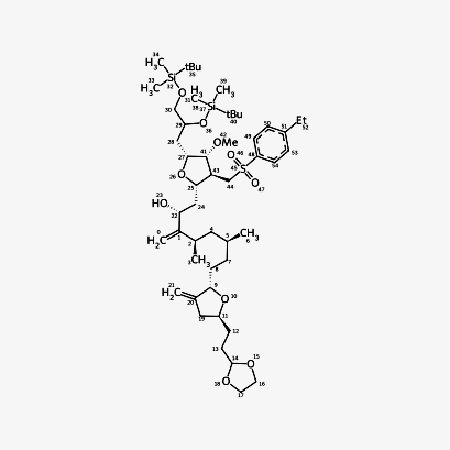 C=C([C@H](C)C[C@@H](C)CC[C@@H]1O[C@@H](CCC2OCCO2)CC1=C)[C@H](O)C[C@@H]1O[C@H](CC(CO[Si](C)(C)C(C)(C)C)O[Si](C)(C)C(C)(C)C)[C@H](OC)[C@H]1CS(=O)(=O)c1ccc(CC)cc1